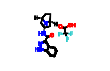 CN1[C@@H]2CC[C@H]1C[C@H](NC(=O)c1n[nH]c3ccccc13)C2.O=C(O)C(F)(F)F